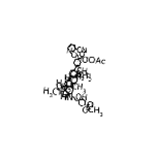 C=C(C)[C@@H]1CC[C@]2(NCC[C@]3(O)CC[C@@H](S(C)(=O)=O)CC3)CC[C@]3(C)[C@H](CC[C@@H]4[C@@]5(C)CC=C(C6=CC[C@@](COc7ncccc7C#N)(C(=O)OCOC(C)=O)CC6)C(C)(C)[C@@H]5CC[C@]43C)[C@@H]12